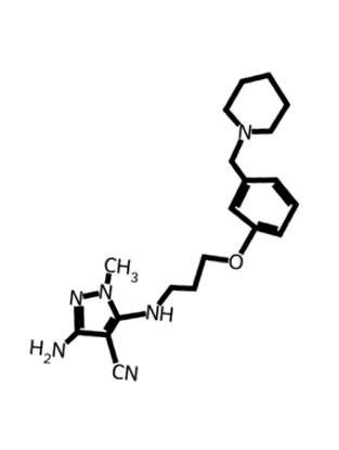 Cn1nc(N)c(C#N)c1NCCCOc1cccc(CN2CCCCC2)c1